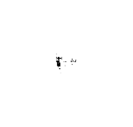 N=S.[Au].[F]